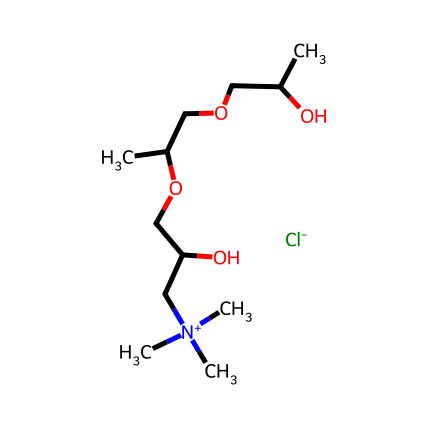 CC(O)COCC(C)OCC(O)C[N+](C)(C)C.[Cl-]